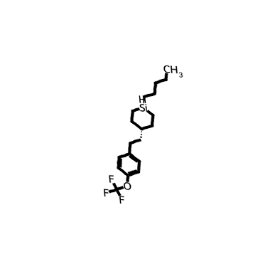 CCCCC[Si@H]1CC[C@H](CCc2ccc(OC(F)(F)F)cc2)CC1